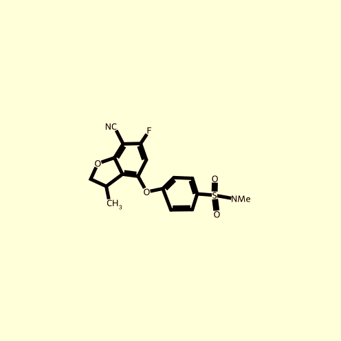 CNS(=O)(=O)c1ccc(Oc2cc(F)c(C#N)c3c2C(C)CO3)cc1